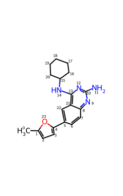 Cc1ccc(-c2ccc3nc(N)nc(NC4CCCCC4)c3c2)o1